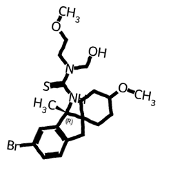 COCCN(CO)C(=S)N[C@@]1(C)c2cc(Br)ccc2CC12CCC(OC)CC2